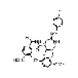 CCC(NC(=O)N1C/C(=N/Oc2ccc(F)cc2)NC[C@@H](Cc2cc(Cl)ccc2OC)C1=O)c1ccc(C(=O)O)c(O)c1